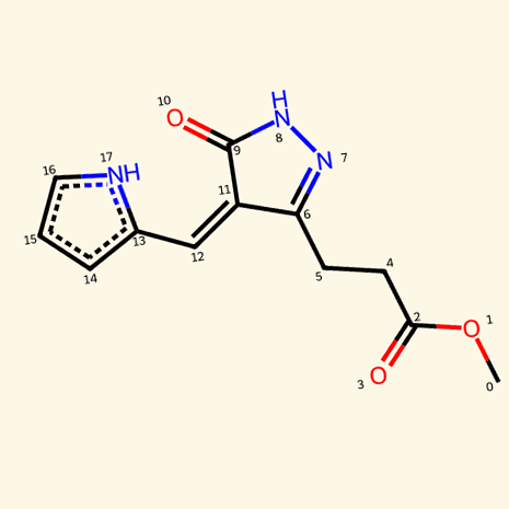 COC(=O)CCC1=NNC(=O)C1=Cc1ccc[nH]1